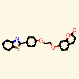 O=c1ccc2ccc(OCCOc3ccc(-c4nc5ccccc5s4)cc3)cc2o1